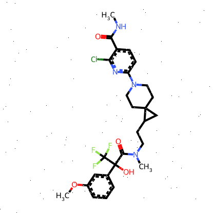 CNC(=O)c1ccc(N2CCC3(CC2)CC3CCN(C)C(=O)C(O)(c2cccc(OC)c2)C(F)(F)F)nc1Cl